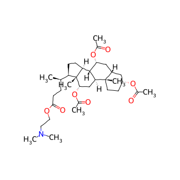 CC(=O)O[C@@H]1CC[C@@]2(C)[C@@H](C1)C[C@@H](OC(C)=O)[C@@H]1[C@@H]2C[C@H](OC(C)=O)[C@]2(C)[C@@H]([C@H](C)CCC(=O)OCCN(C)C)CC[C@@H]12